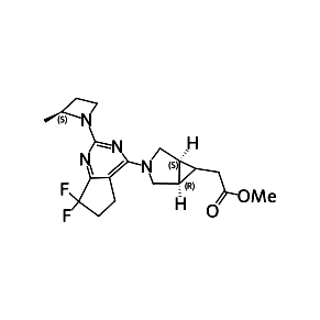 COC(=O)CC1[C@H]2CN(c3nc(N4CC[C@@H]4C)nc4c3CCC4(F)F)C[C@@H]12